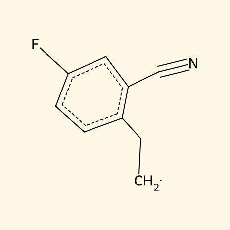 [CH2]Cc1ccc(F)cc1C#N